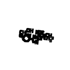 CO[C@@H]1CCCC(c2cnc3cc(C(C)(C)C)n(C)c3n2)=N[C@H]1CO